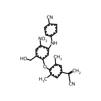 C=C(C#N)c1cc(C)c(Oc2cc(Nc3ccc(C#N)cc3)c([N+](=O)[O-])cc2CO)c(C)c1